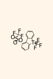 FC(F)(F)[te+]1c2ccccc2c2ccccc21.O=S(=O)([O-])C(F)(F)F